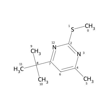 CSc1nc(C)cc(C(C)(C)C)n1